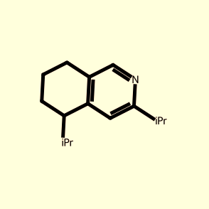 CC(C)c1cc2c(cn1)CCCC2C(C)C